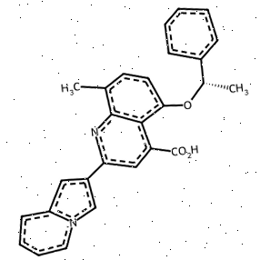 Cc1ccc(O[C@@H](C)c2ccccc2)c2c(C(=O)O)cc(-c3cc4ccccn4c3)nc12